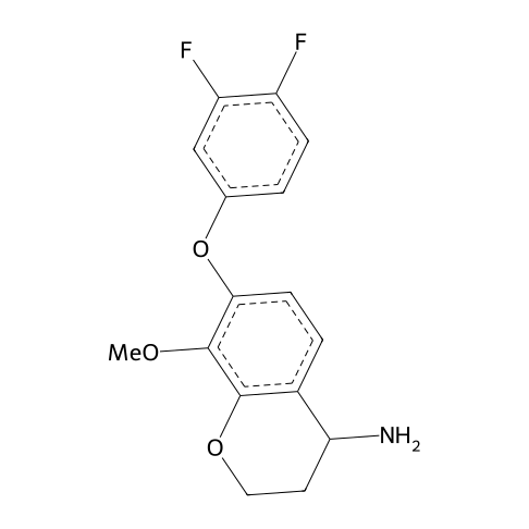 COc1c(Oc2ccc(F)c(F)c2)ccc2c1OCCC2N